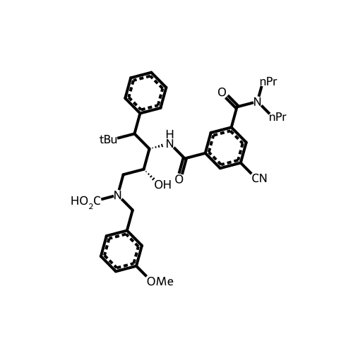 CCCN(CCC)C(=O)c1cc(C#N)cc(C(=O)N[C@@H](C(c2ccccc2)C(C)(C)C)[C@H](O)CN(Cc2cccc(OC)c2)C(=O)O)c1